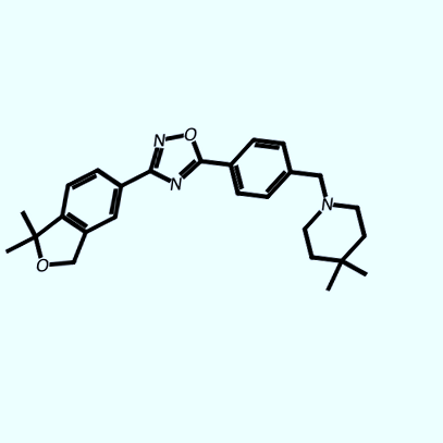 CC1(C)CCN(Cc2ccc(-c3nc(-c4ccc5c(c4)COC5(C)C)no3)cc2)CC1